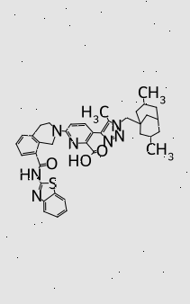 Cc1c(-c2ccc(N3CCc4cccc(C(=O)Nc5nc6ccccc6s5)c4C3)nc2C(=O)O)nnn1CC12CC(C)CC(CC(C)C1)C2